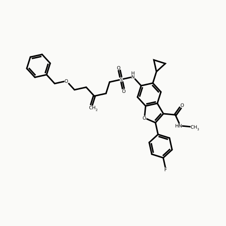 C=C(CCOCc1ccccc1)CCS(=O)(=O)Nc1cc2oc(-c3ccc(F)cc3)c(C(=O)NC)c2cc1C1CC1